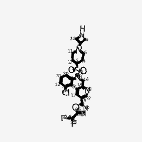 O=S(=O)(C1CCN(C2CNC2)CC1)N(Cc1ccc(-c2nnc(C(F)F)o2)cn1)c1cccc(Cl)c1